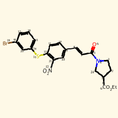 CCOC(=O)C1CCN(C(=O)C=Cc2ccc(Sc3cccc(Br)c3)c([N+](=O)[O-])c2)C1